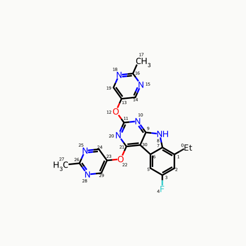 CCc1cc(F)cc2c1[nH]c1nc(Oc3cnc(C)nc3)nc(Oc3cnc(C)nc3)c12